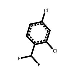 FC(F)c1ccc(Cl)cc1Cl